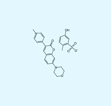 C[n+]1ccc(-c2cc3ccc(N4CCOCC4)cc3oc2=O)cc1.Cc1ccc(O)cc1S(=O)(=O)[O-]